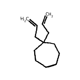 C=CCC1(CC=C)CCCCCC1